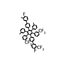 Cc1cccc(-c2c(-c3ccc(-c4ccc(F)c(C)c4)cc3)c(-c3cccc(C)c3)c(-c3cccc(C(F)(F)F)c3)c(-c3ccc(-c4ccc(F)c(C(F)(F)F)c4)cc3)c2-c2cccc(C(F)(F)F)c2)c1